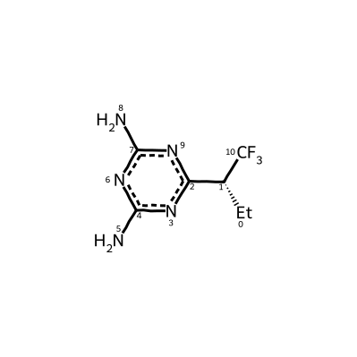 CC[C@H](c1nc(N)nc(N)n1)C(F)(F)F